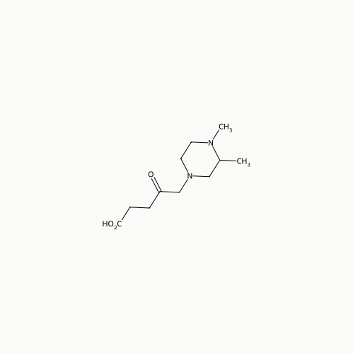 CC1CN(CC(=O)CCC(=O)O)CCN1C